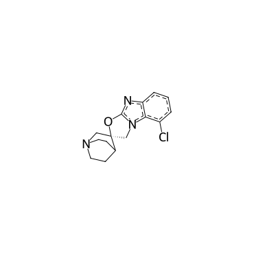 Clc1cccc2nc3n(c12)C[C@]1(CN2CCC1CC2)O3